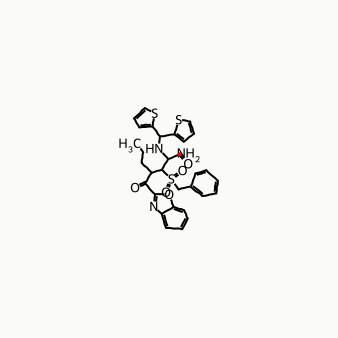 CCCC(C(=O)c1nc2ccccc2o1)C(C(NC(c1cccs1)c1cccs1)C(N)=O)S(=O)(=O)Cc1ccccc1